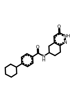 O=C(NC1CCc2n[nH]c(=O)cc2C1)c1ccc(C2CCCCC2)cc1